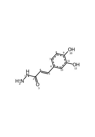 NNC(=O)/C=C/c1ccc(O)c(O)c1